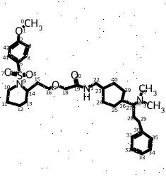 COc1ccc(S(=O)(=O)N2CCCCC2CCOCC(=O)NCC2CCC(C(CCc3ccccc3)N(C)C)CC2)cc1